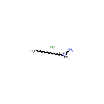 CCCCCCCCCCCCCCCCC[N+](C)(C)CCCN.Cl